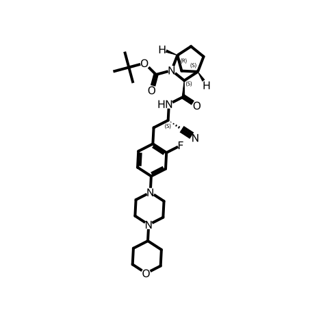 CC(C)(C)OC(=O)N1[C@@H]2CC[C@@H](C2)[C@H]1C(=O)N[C@H](C#N)Cc1ccc(N2CCN(C3CCOCC3)CC2)cc1F